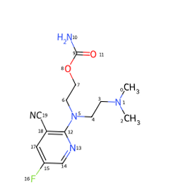 CN(C)CCN(CCOC(N)=O)c1ncc(F)cc1C#N